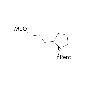 CCCCCN1CCCC1CCCOC